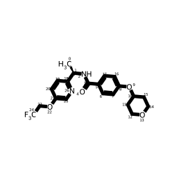 C[C@@H](NC(=O)c1ccc(OC2CCOCC2)cc1)c1ccc(OCC(F)(F)F)cn1